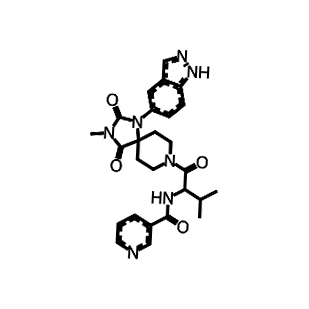 CC(C)C(NC(=O)c1cccnc1)C(=O)N1CCC2(CC1)C(=O)N(C)C(=O)N2c1ccc2[nH]ncc2c1